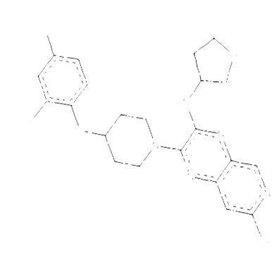 Cc1cc2nc(N3CCC(Oc4ccc(F)cc4F)CC3)c(NC3CCOC3)nc2cn1